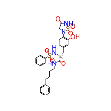 O=C1CN(c2ccc(C[C@@H](NS(=O)(=O)c3ccccc3)C(=O)NCCCCc3ccccc3)cc2O)S(=O)(=O)N1